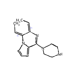 C/C=c1/nc(N2CCNCC2)c2cccn2/c1=C/C